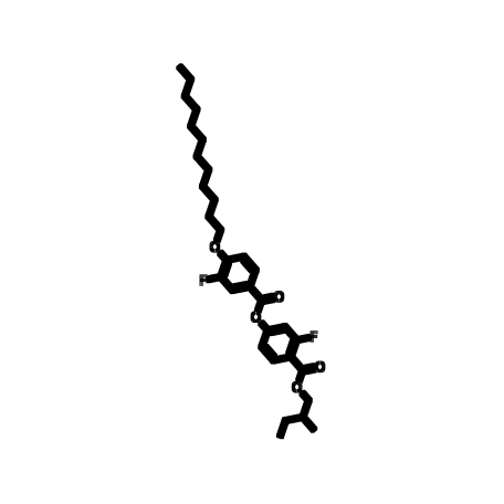 CCCCCCCCCCCCOc1ccc(C(=O)Oc2ccc(C(=O)OCC(C)CC)c(F)c2)cc1F